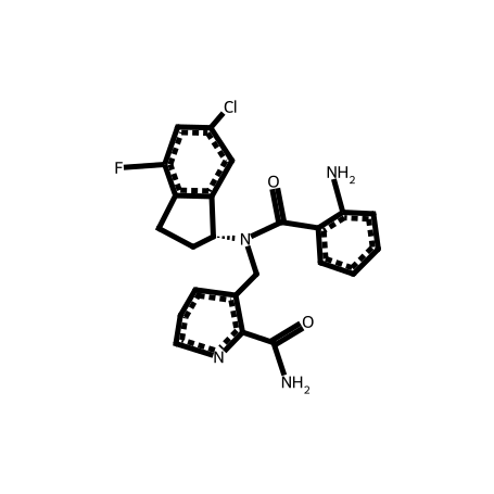 NC(=O)c1ncccc1CN(C(=O)c1ccccc1N)[C@@H]1CCc2c(F)cc(Cl)cc21